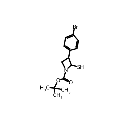 CC(C)(C)OC(=O)N1CC(c2ccc(Br)cc2)C1S